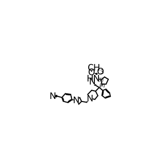 COC(=O)N[C@H]1CCC[C@@H]1C(C#N)(c1ccccc1)C1CCN(CC2CN(c3ccc(C#N)cc3)C2)CC1